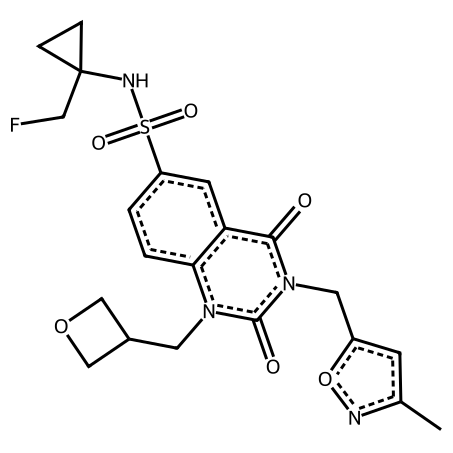 Cc1cc(Cn2c(=O)c3cc(S(=O)(=O)NC4(CF)CC4)ccc3n(CC3COC3)c2=O)on1